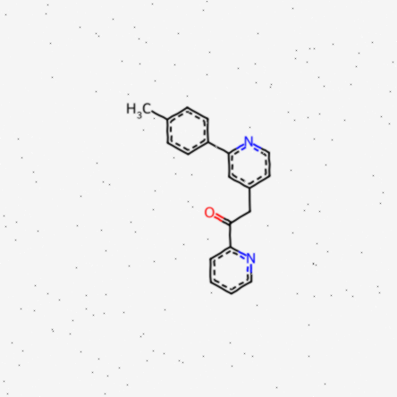 Cc1ccc(-c2cc(CC(=O)c3ccccn3)ccn2)cc1